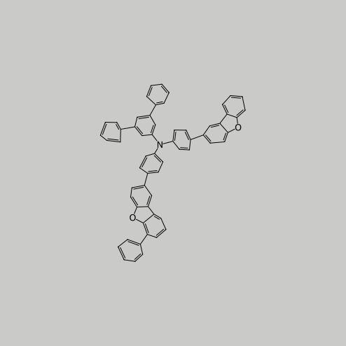 c1ccc(-c2cc(-c3ccccc3)cc(N(c3ccc(-c4ccc5oc6ccccc6c5c4)cc3)c3ccc(-c4ccc5oc6c(-c7ccccc7)cccc6c5c4)cc3)c2)cc1